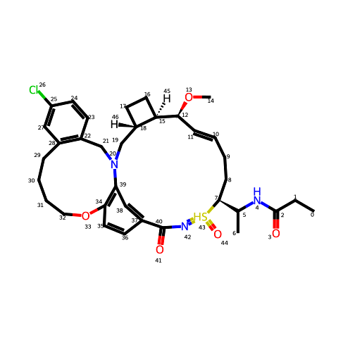 CCC(=O)NC(C)[C@@H]1CC/C=C/[C@H](OC)[C@@H]2CC[C@H]2CN2Cc3ccc(Cl)cc3CCCCOc3ccc(cc32)C(=O)/N=[SH]\1=O